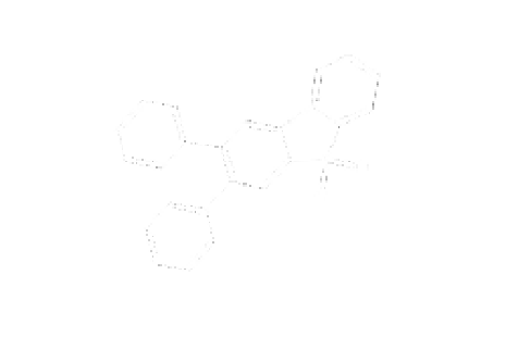 O=S1(=O)c2ccccc2-c2cc(-c3ccccc3)c(-c3ccccc3)cc21